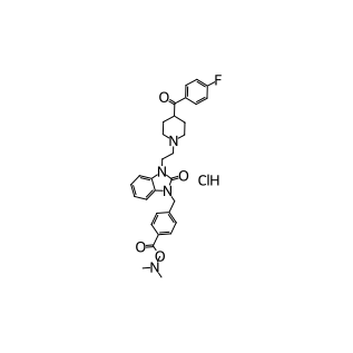 CN(C)OC(=O)c1ccc(Cn2c(=O)n(CCN3CCC(C(=O)c4ccc(F)cc4)CC3)c3ccccc32)cc1.Cl